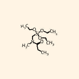 CCO[Si](CN(C)C(=O)CC)(OCC)OCC